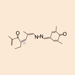 C=C(C)C(=O)/C(=C\C(C)=CN=NC=C1C=C(C)C(=O)C(C)=C1)CC